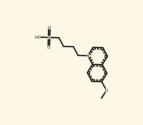 COc1ccc2c(ccc[n+]2CCCCS(=O)(=O)O)c1